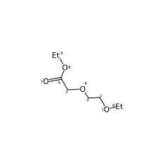 [CH2]COCCOCC(=O)OCC